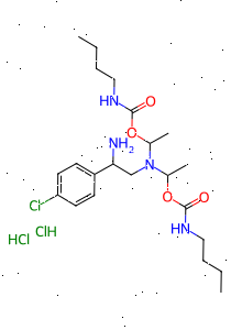 CCCCNC(=O)OC(C)N(CC(N)c1ccc(Cl)cc1)C(C)OC(=O)NCCCC.Cl.Cl